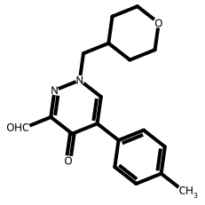 Cc1ccc(-c2cn(CC3CCOCC3)nc(C=O)c2=O)cc1